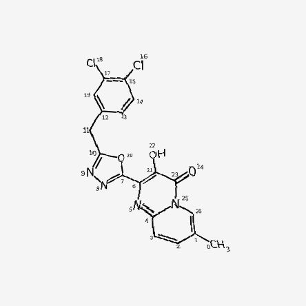 Cc1ccc2nc(-c3nnc(Cc4ccc(Cl)c(Cl)c4)o3)c(O)c(=O)n2c1